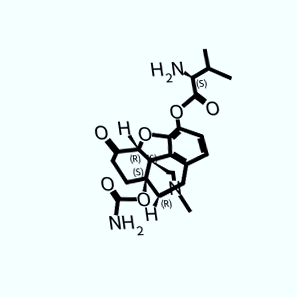 CC(C)[C@H](N)C(=O)Oc1ccc2c3c1O[C@H]1C(=O)CC[C@@]4(OC(N)=O)[C@@H](C2)N(C)CC[C@]314